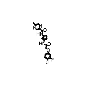 Cc1cnc(C(=O)NC23CC(C2)C(NC(=O)COc2ccc(Cl)c(F)c2)C3)cn1